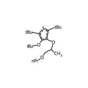 CCCOCC(C)Oc1c(C(C)(C)C)sc(C(C)(C)C)c1OC(C)CC